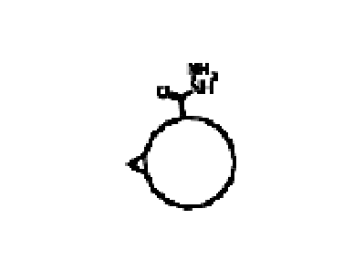 NNC(=O)C1CCCCCCCCCCC2CC2CC1